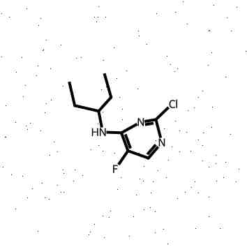 CCC(CC)Nc1nc(Cl)ncc1F